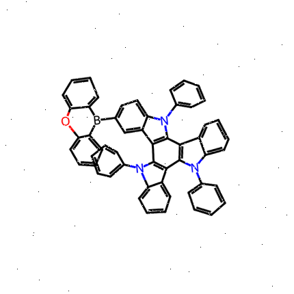 c1ccc(-n2c3ccccc3c3c2c2c4ccccc4n(-c4ccccc4)c2c2c4cc(B5c6ccccc6Oc6ccccc65)ccc4n(-c4ccccc4)c32)cc1